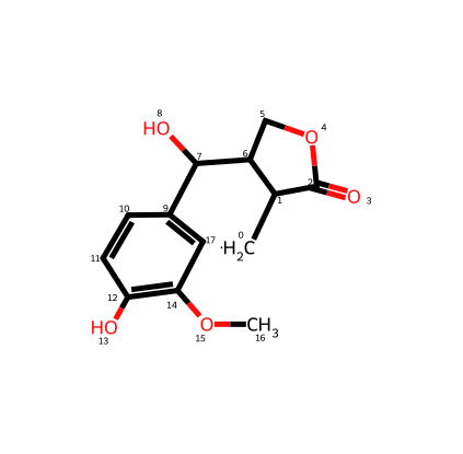 [CH2]C1C(=O)OCC1C(O)c1ccc(O)c(OC)c1